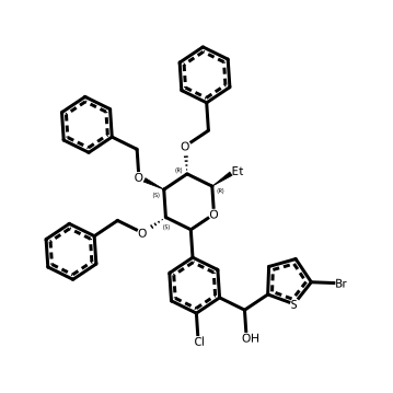 CC[C@H]1OC(c2ccc(Cl)c(C(O)c3ccc(Br)s3)c2)[C@H](OCc2ccccc2)[C@@H](OCc2ccccc2)[C@@H]1OCc1ccccc1